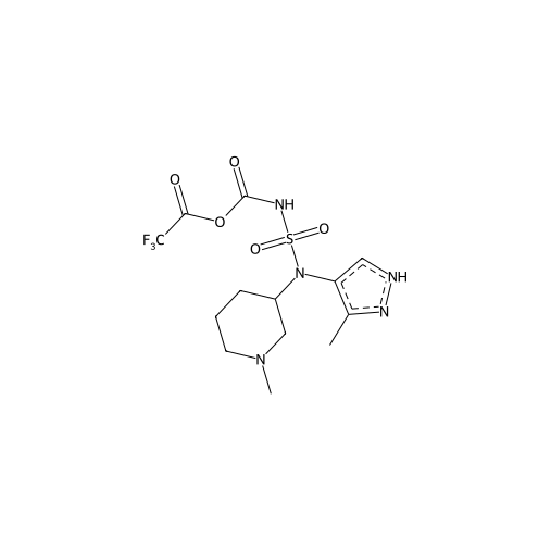 Cc1n[nH]cc1N(C1CCCN(C)C1)S(=O)(=O)NC(=O)OC(=O)C(F)(F)F